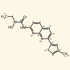 CCN(S)C(=O)Nc1ccc2ncc(-c3cc(C)cs3)nc2n1